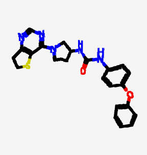 O=C(Nc1ccc(Oc2ccccc2)cc1)NC1CCN(c2ncnc3c2SCC3)C1